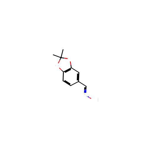 CC1(C)Oc2ccc(/C=N/O)cc2O1